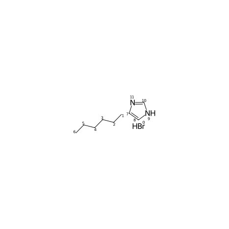 Br.CCCCCC.c1c[nH]cn1